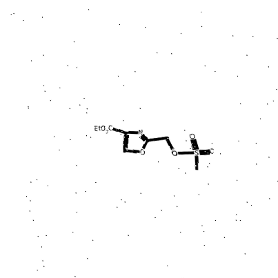 CCOC(=O)c1coc(COS(C)(=O)=O)n1